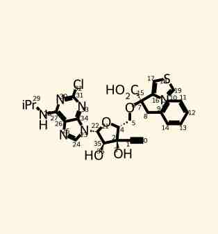 C#C[C@@]1(O)[C@@H](CO[C@@](Cc2ccccc2)(C(=O)O)c2cscn2)O[C@@H](n2cnc3c(NC(C)C)nc(Cl)nc32)[C@@H]1O